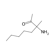 CCCCCC(C)(N)C(C)=O